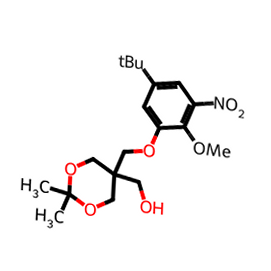 COc1c(OCC2(CO)COC(C)(C)OC2)cc(C(C)(C)C)cc1[N+](=O)[O-]